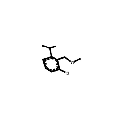 COCc1c(Cl)cccc1C(C)C